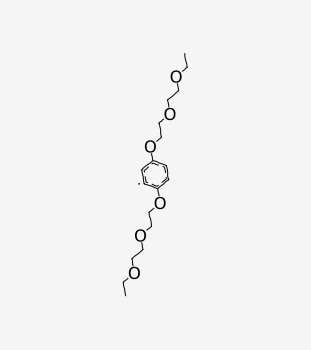 CCOCCOCCOc1[c]cc(OCCOCCOCC)cc1